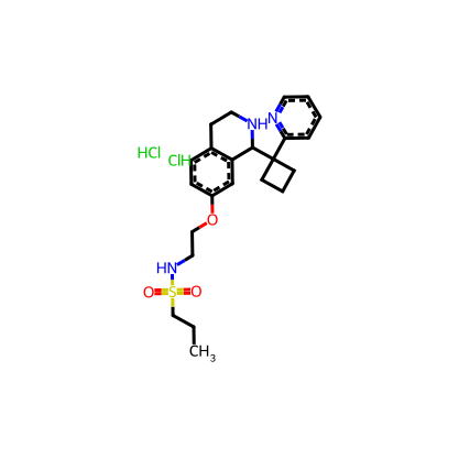 CCCS(=O)(=O)NCCOc1ccc2c(c1)C(C1(c3ccccn3)CCC1)NCC2.Cl.Cl